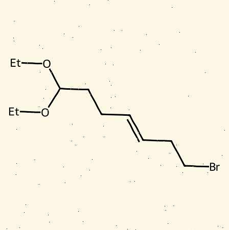 CCOC(CC/C=C/CCBr)OCC